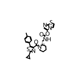 Cc1ccc(-c2sc(C3CC3)nc2C(=O)N2CCCC[C@H]2CNC(=O)Oc2cnc3sccn23)cc1